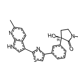 Cc1ccc2c(-c3nc(-c4cccc([C@]5(O)CCN(C)C5=O)c4)cs3)c[nH]c2n1